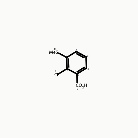 CSc1cccc(C(=O)O)c1Cl